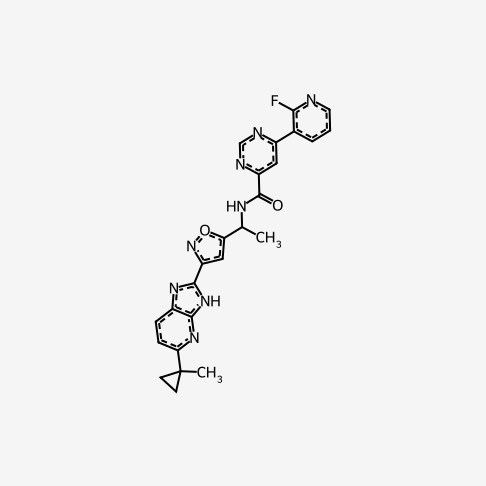 CC(NC(=O)c1cc(-c2cccnc2F)ncn1)c1cc(-c2nc3ccc(C4(C)CC4)nc3[nH]2)no1